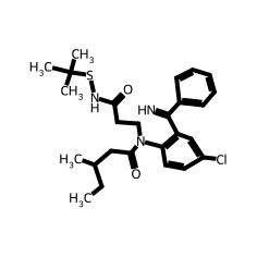 CCC(C)CC(=O)N(CCC(=O)NSC(C)(C)C)c1ccc(Cl)cc1C(=N)c1ccccc1